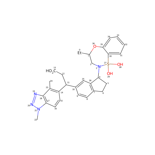 CCC1CN(C2CCc3ccc(C(CC(=O)O)c4ccc5c(nnn5C)c4C)cc32)S(O)(O)c2ccccc2O1